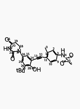 Cc1cc(NS(C)(=O)=O)ccc1C#Cc1cc(N2CCC(=O)NC2=O)cc(C(C)(C)C)c1O